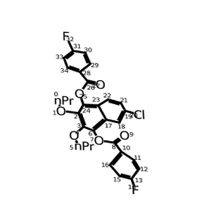 CCCOc1c(OCCC)c(OC(=O)c2ccc(F)cc2)c2cc(Cl)ccc2c1OC(=O)c1ccc(F)cc1